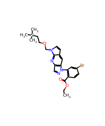 CCOC(=O)c1ccc(Br)cc1-n1ncc2nc3c(ccn3COCC[Si](C)(C)C)cc21